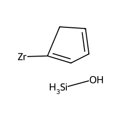 O[SiH3].[Zr][C]1=CC=CC1